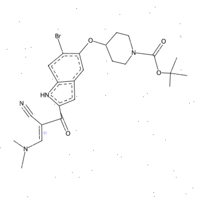 CN(C)/C=C(\C#N)C(=O)c1cc2cc(OC3CCN(C(=O)OC(C)(C)C)CC3)c(Br)cc2[nH]1